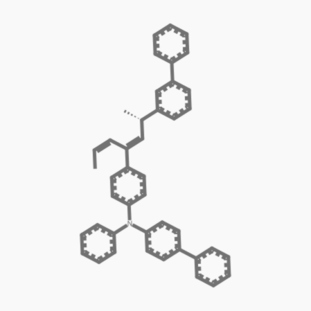 C/C=C\C(=C/[C@H](C)c1cccc(-c2ccccc2)c1)c1ccc(N(c2ccccc2)c2ccc(-c3ccccc3)cc2)cc1